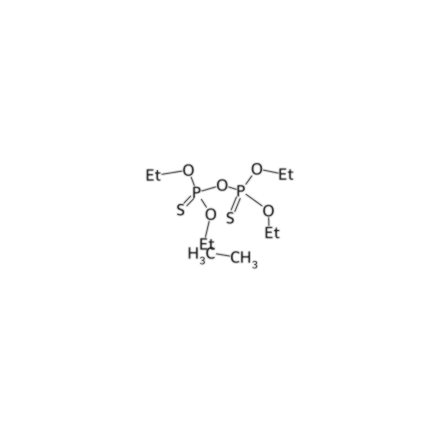 CC.CCOP(=S)(OCC)OP(=S)(OCC)OCC